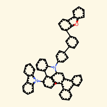 c1cc(-c2ccc(N(c3ccc4c5ccccc5c5ccccc5c4c3)c3ccccc3-c3ccccc3-n3c4ccccc4c4ccccc43)cc2)cc(-c2cccc3c2oc2ccccc23)c1